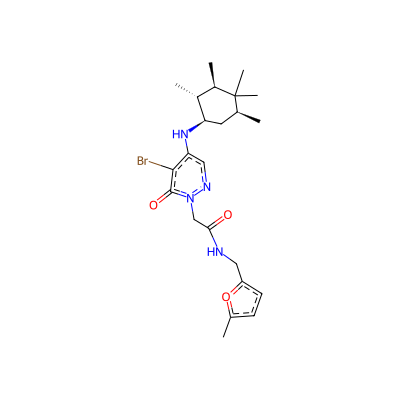 Cc1ccc(CNC(=O)Cn2ncc(N[C@@H]3C[C@H](C)C(C)(C)[C@H](C)[C@H]3C)c(Br)c2=O)o1